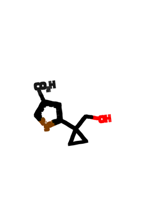 O=C(O)c1csc(C2(CO)CC2)c1